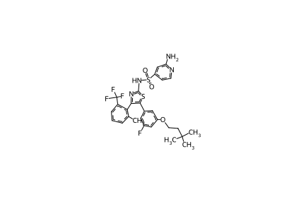 Cc1cccc(C(F)(F)F)c1-c1nc(NS(=O)(=O)c2ccnc(N)c2)sc1-c1cc(F)cc(OCCC(C)(C)C)c1